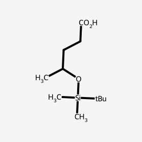 CC(CCC(=O)O)O[Si](C)(C)C(C)(C)C